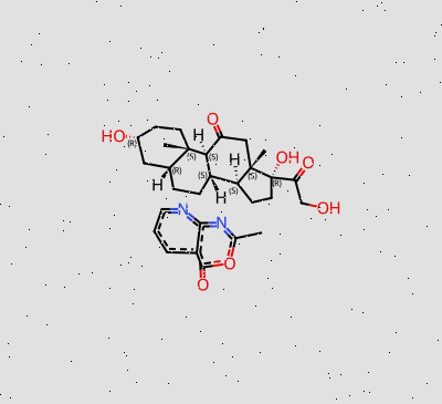 C[C@]12CC[C@@H](O)C[C@H]1CC[C@@H]1[C@@H]2C(=O)C[C@@]2(C)[C@H]1CC[C@]2(O)C(=O)CO.Cc1nc2ncccc2c(=O)o1